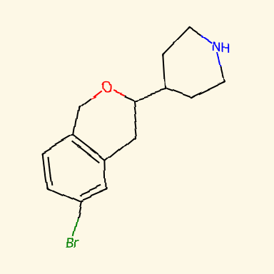 Brc1ccc2c(c1)CC(C1CCNCC1)OC2